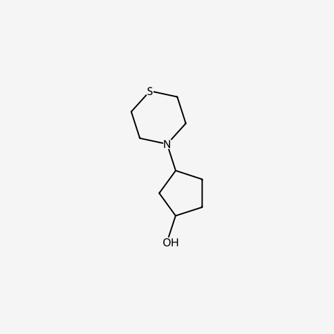 OC1CCC(N2CCSCC2)C1